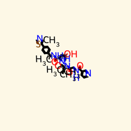 Cc1ncsc1-c1ccc([C@H](C)NC(=O)[C@@H]2C[C@@H](O)CN2C(=O)[C@@H](NC(=O)CNC(=O)c2cccnc2)C(C)(C)C)cc1